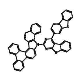 c1ccc2c(c1)ccc1c3c4c5ccccc5c5ccccc5c4ccc3n(-c3nc(-c4ccc5c(c4)sc4ccccc45)c4c(n3)sc3ccccc34)c21